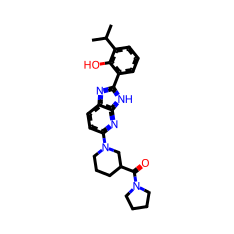 CC(C)c1cccc(-c2nc3ccc(N4CCCC(C(=O)N5CCCC5)C4)nc3[nH]2)c1O